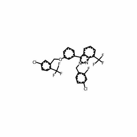 Fc1cc(Cl)ccc1Cn1nc2c(C(F)(F)F)cccc2c1-c1cccc(OCc2cc(Cl)ccc2C(F)(F)F)c1